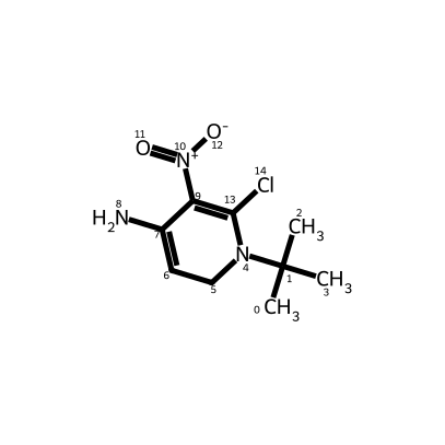 CC(C)(C)N1CC=C(N)C([N+](=O)[O-])=C1Cl